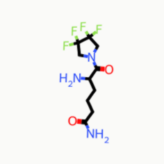 NC(=O)CCCC(N)C(=O)N1CC(F)(F)C(F)(F)C1